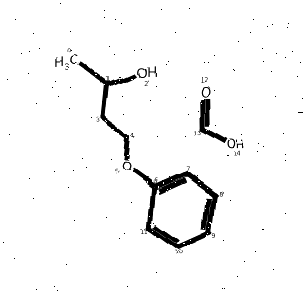 CC(O)CCOc1ccccc1.O=CO